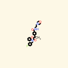 CC(=C1Oc2ccccc2N(Cc2ccc(F)cc2)C1=O)c1ccc(C(=O)NCCCN2CCOCC2)cc1